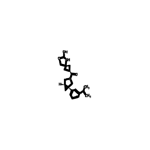 CC(C)c1cccc([C@]23C[C@H]2CN(C(=O)[C@H]2C[C@]4(COC(O)N4)C2)C3)c1